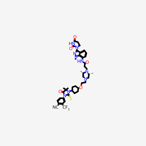 C[C@@H]1CN(CCOC2CCC(N3C(=S)N(c4ccc(C#N)c(C(F)(F)F)c4)C(=O)C3(C)C)CC2)C[C@H](C)N1CCC(=O)Nc1cccc2c(N3CCC(=O)NC3=O)nn(C)c12